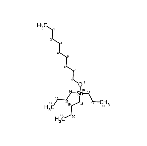 CCCCCCCCC[O][Sn]([CH2]CC)([CH2]CCC)[CH2]CCC